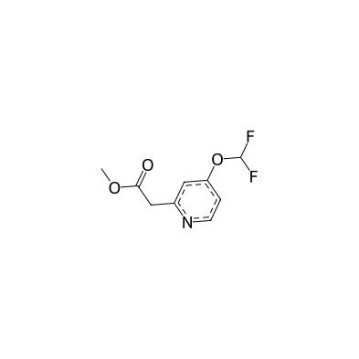 COC(=O)Cc1cc(OC(F)F)ccn1